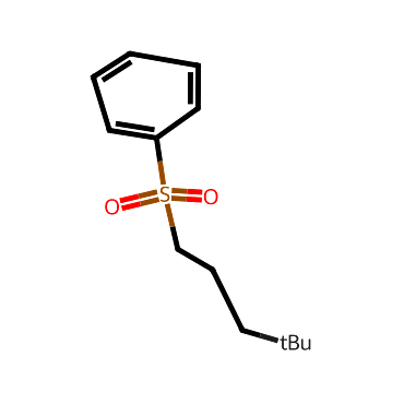 CC(C)(C)CCCS(=O)(=O)c1ccccc1